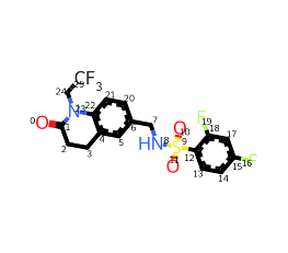 O=C1CCc2cc(CNS(=O)(=O)c3ccc(F)cc3F)ccc2N1CC(F)(F)F